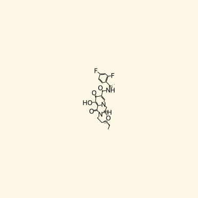 CC[C@H]1CCN2C(=O)c3c(O)c(=O)c(C(=O)N[C@@H](C)c4ccc(F)cc4F)cn3C[C@H]2O1